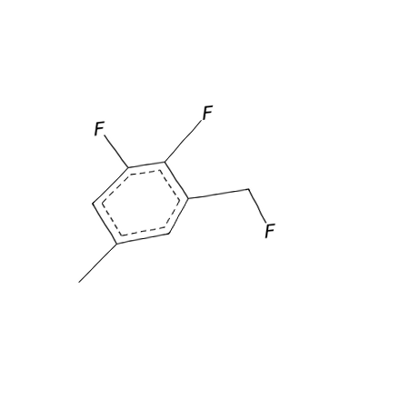 Cc1cc(F)c(F)c(CF)c1